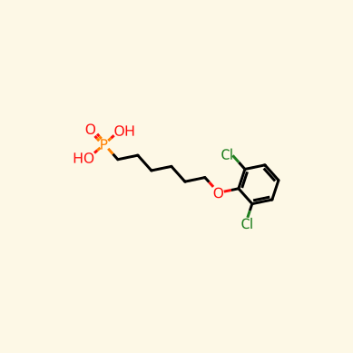 O=P(O)(O)CCCCCCOc1c(Cl)cccc1Cl